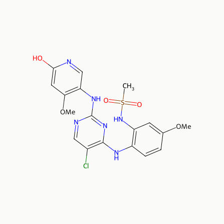 COc1ccc(Nc2nc(Nc3cnc(O)cc3OC)ncc2Cl)c(NS(C)(=O)=O)c1